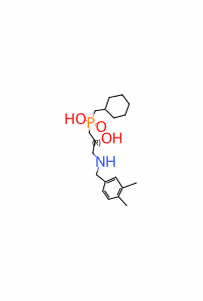 Cc1ccc(CNC[C@@H](O)CP(=O)(O)CC2CCCCC2)cc1C